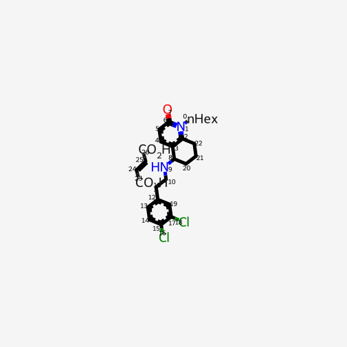 CCCCCCn1c2c(ccc1=O)C(NCCc1ccc(Cl)c(Cl)c1)CCC2.O=C(O)/C=C/C(=O)O